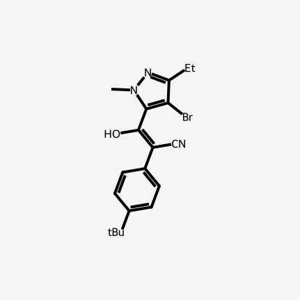 CCc1nn(C)c(C(O)=C(C#N)c2ccc(C(C)(C)C)cc2)c1Br